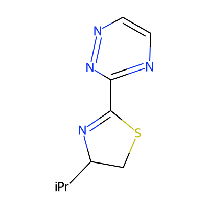 CC(C)C1CSC(c2nccnn2)=N1